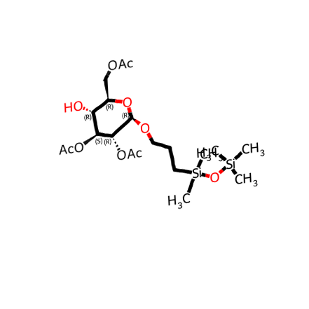 CC(=O)OC[C@H]1O[C@@H](OCCC[Si](C)(C)O[Si](C)(C)C)[C@H](OC(C)=O)[C@@H](OC(C)=O)[C@@H]1O